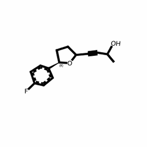 CC(O)C#CC1CC[C@H](c2ccc(F)cc2)O1